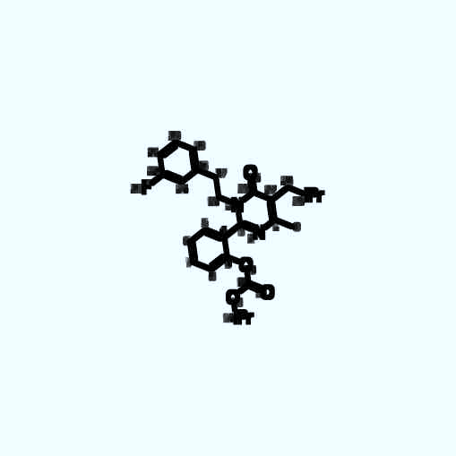 Cc1nc(-c2ccccc2OC(=O)OC(C)C)n(CCc2cccc(F)c2)c(=O)c1CC(C)C